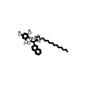 CCCCCCCCCCCCn1nnc(C(C(=O)Nc2c(OC)cc(OC)cc2OC)c2ccc3ccccc3c2)n1